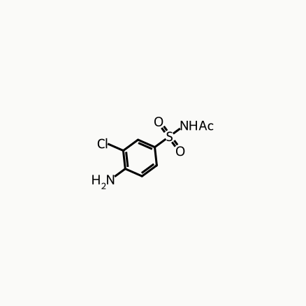 CC(=O)NS(=O)(=O)c1ccc(N)c(Cl)c1